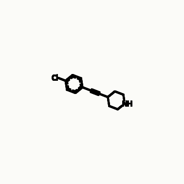 Clc1ccc(C#CC2CCNCC2)cc1